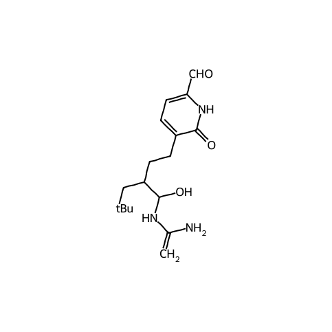 C=C(N)NC(O)C(CCc1ccc(C=O)[nH]c1=O)CC(C)(C)C